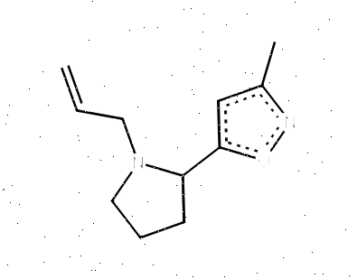 C=CCN1CCCC1c1cc(C)no1